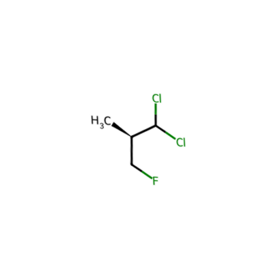 C[C@H](CF)C(Cl)Cl